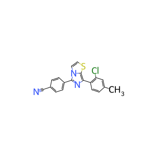 Cc1ccc(-c2nc(-c3ccc(C#N)cc3)n3ccsc23)c(Cl)c1